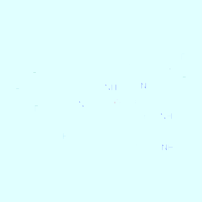 CN/C=C(\C(=N)C(=O)N1CC(F)(F)CC(C)[C@H]1CNc1ccc(C(F)(F)F)cn1)c1ccc(F)cc1